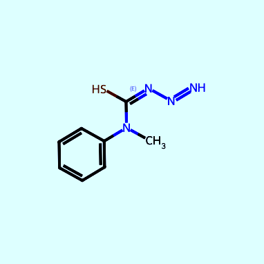 CN(/C(S)=N\N=N)c1ccccc1